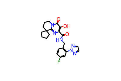 O=C(NCc1ccc(F)cc1-n1nccn1)c1nc2n(c(=O)c1O)CCCC21CCCC1